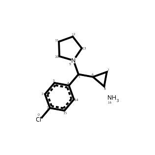 Clc1ccc(C(C2CC2)N2CCCC2)cc1.N